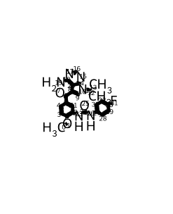 COc1ccc(C(=O)c2cn(C(C)C)c3ncnc(N)c23)cc1NC(=O)Nc1ccc(F)cc1